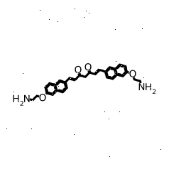 NCCOc1ccc2cc(/C=C/C(=O)CC(=O)/C=C/c3ccc4cc(OCCN)ccc4c3)ccc2c1